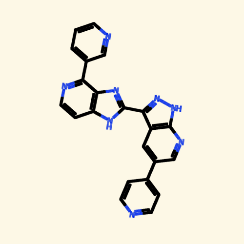 c1cncc(-c2nccc3[nH]c(-c4n[nH]c5ncc(-c6ccncc6)cc45)nc23)c1